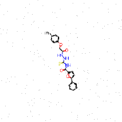 CC(C)c1ccc(OCC(=O)NNC(=S)NC(=O)c2ccc(-c3ccccc3)o2)cc1